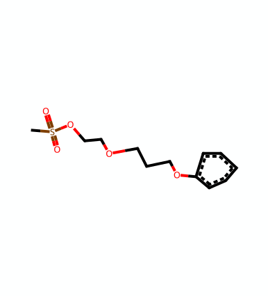 CS(=O)(=O)OCCOCCCOc1ccccc1